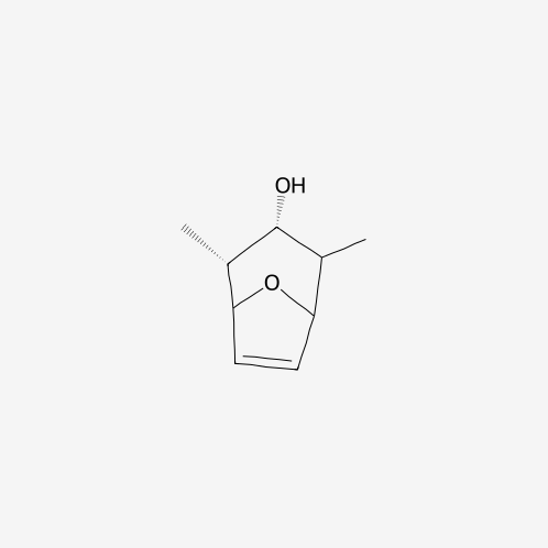 CC1C2C=CC(O2)[C@H](C)[C@@H]1O